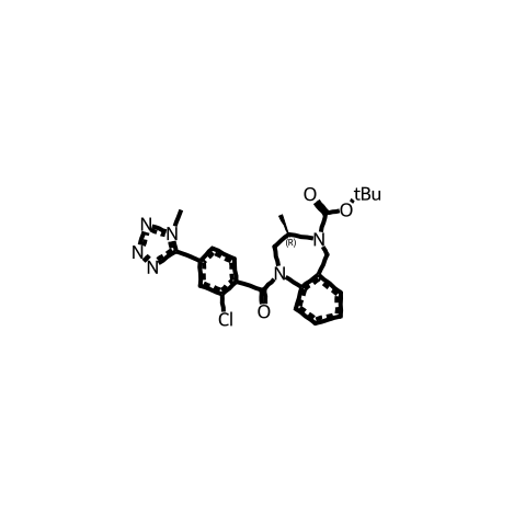 C[C@@H]1CN(C(=O)c2ccc(-c3nnnn3C)cc2Cl)c2ccccc2CN1C(=O)OC(C)(C)C